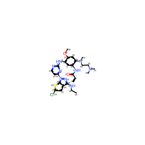 C=CC(=O)Nc1cc(Nc2nccc(-n3nc(NCC)c4cc(Cl)sc43)n2)c(OC)cc1N(C)CCN(C)C